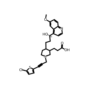 COc1ccc2nccc([C@@H](O)CCC3CCN(CC#Cc4ccc(Cl)s4)CC3CCC(=O)O)c2c1